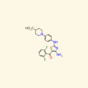 Nc1nc(Nc2ccc(N3CCC(C(=O)O)CC3)cc2)sc1C(=O)c1c(F)cccc1F